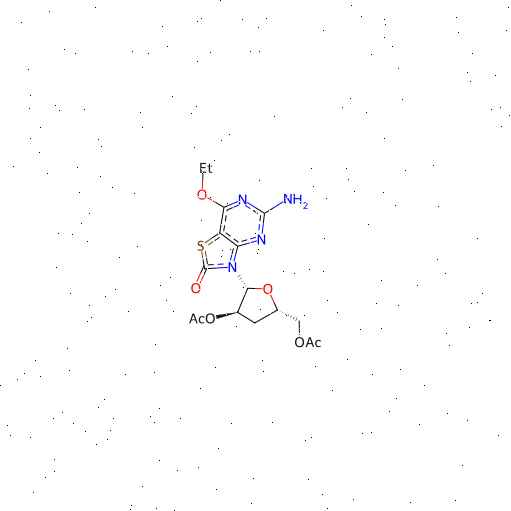 CCOc1nc(N)nc2c1sc(=O)n2[C@@H]1O[C@H](COC(C)=O)C[C@H]1OC(C)=O